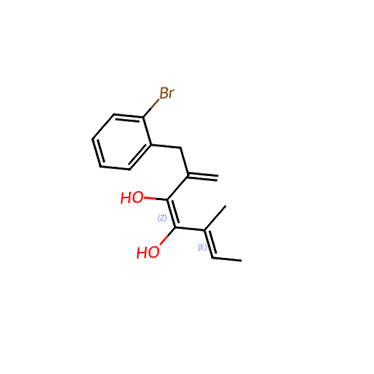 C=C(Cc1ccccc1Br)/C(O)=C(O)\C(C)=C\C